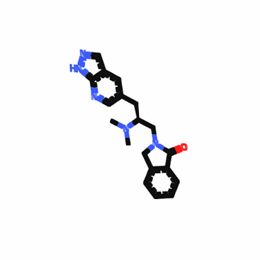 CN(C)[C@@H](Cc1cnc2[nH]ncc2c1)CN1Cc2ccccc2C1=O